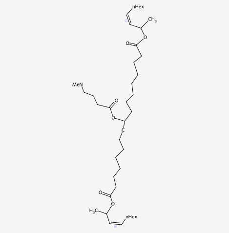 CCCCCC/C=C\C(C)OC(=O)CCCCCCCC(CCCCCCCC(=O)OC(C)/C=C\CCCCCC)OC(=O)CCCNC